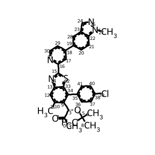 CC(=O)[C@@H](OC(C)(C)C)c1c(C)cc2nc(-c3cc(-c4ccc5c(cnn5C)c4)ccn3)sc2c1-c1ccc(Cl)cc1